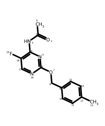 CC(=O)Nc1nc(OCc2ccc(C)cc2)ncc1F